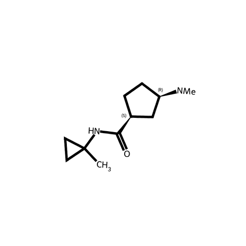 CN[C@@H]1CC[C@H](C(=O)NC2(C)CC2)C1